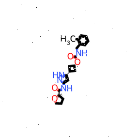 Cc1ccccc1CNC(=O)O[C@H]1C[C@@H](c2cc(NC(=O)[C@H]3CCCO3)n[nH]2)C1